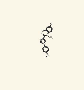 COc1ccc(-n2cnc(C(=O)N(N)c3ccc(Cl)cc3Cl)c2)cc1